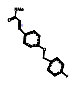 CNC(=O)/C=C/c1ccc(OCc2ccc(F)cc2)cc1